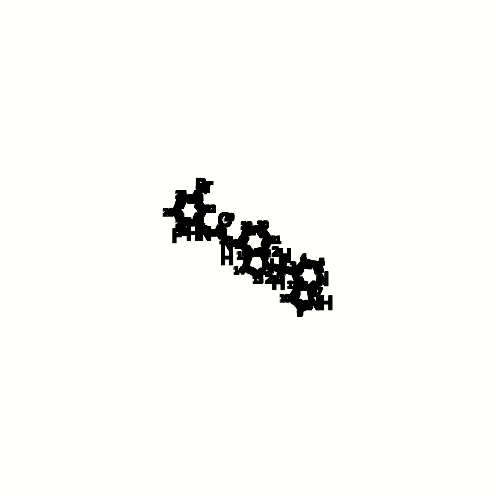 [2H]C([2H])(c1ccnc2[nH]ccc12)N1CCc2c(NC(=O)Nc3cc(Br)ccc3F)cccc21